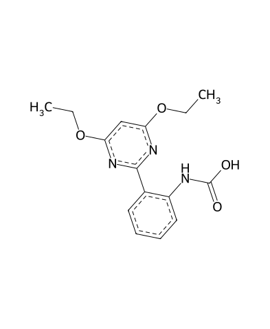 CCOc1cc(OCC)nc(-c2ccccc2NC(=O)O)n1